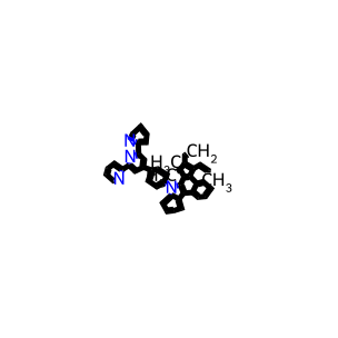 C=CC1=C(/C=C\C)c2c(c3c(c4ccccc24)c2ccccc2n3-c2ccc(-c3cc(-c4ccccn4)nc(-c4ccccn4)c3)cc2)C1(C)C